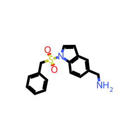 NCc1ccc2c(ccn2S(=O)(=O)Cc2ccccc2)c1